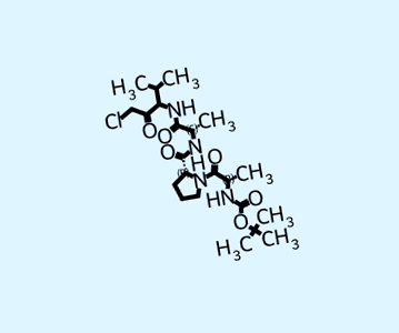 CC(C)C(NC(=O)[C@H](C)NC(=O)[C@H]1CCCN1C(=O)[C@@H](C)NC(=O)OC(C)(C)C)C(=O)CCl